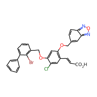 O=C(O)/C=C/c1cc(Cl)c(OCc2cccc(-c3ccccc3)c2Br)cc1OCc1ccc2nonc2c1